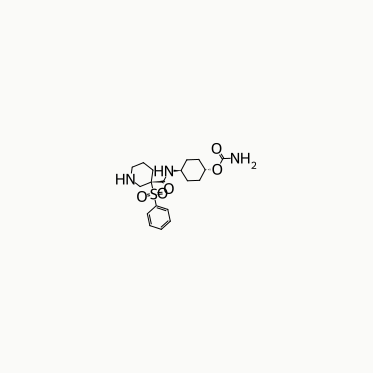 NC(=O)O[C@H]1CC[C@H](NC(=O)[C@]2(S(=O)(=O)c3ccccc3)CCCNC2)CC1